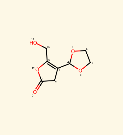 O=C1CC(C2OCCO2)=C(CO)O1